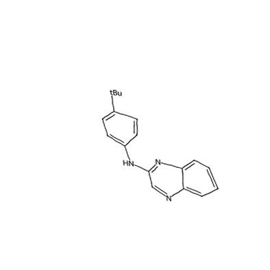 CC(C)(C)c1ccc(Nc2cnc3ccccc3n2)cc1